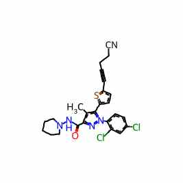 Cc1c(C(=O)NN2CCCCC2)nn(-c2ccc(Cl)cc2Cl)c1-c1ccc(C#CCCC#N)s1